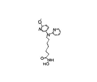 COc1ccc(N(CCCCCCC(=O)NO)c2ccccn2)cn1